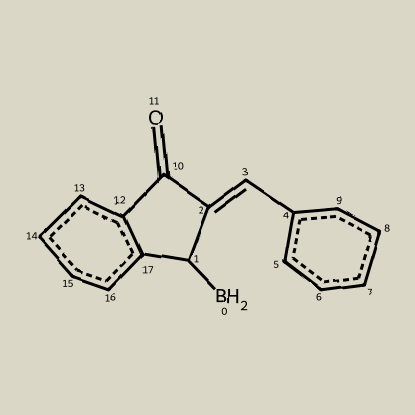 BC1/C(=C\c2ccccc2)C(=O)c2ccccc21